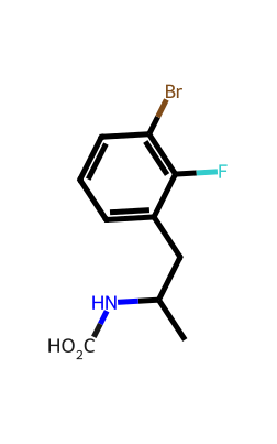 CC(Cc1cccc(Br)c1F)NC(=O)O